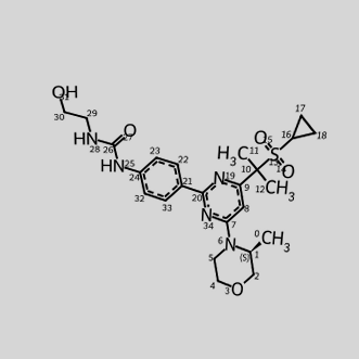 C[C@H]1COCCN1c1cc(C(C)(C)S(=O)(=O)C2CC2)nc(-c2ccc(NC(=O)NCCO)cc2)n1